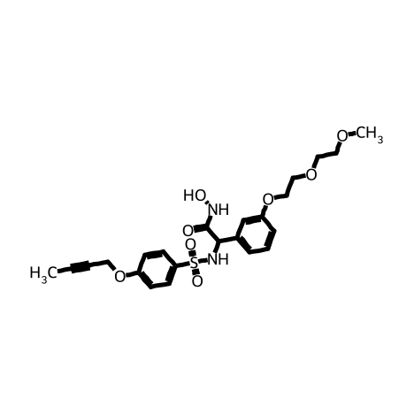 CC#CCOc1ccc(S(=O)(=O)NC(C(=O)NO)c2cccc(OCCOCCOC)c2)cc1